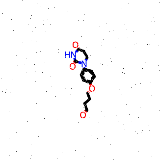 O=CCCCOc1ccc(N2CCC(=O)NC2=O)cc1